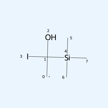 [CH2]C(O)(I)[Si](C)(C)C